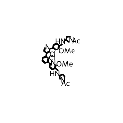 COc1cc(-c2nccc(-c3cccc(-c4ccc(CNC5CCN(C(C)=O)C5)c(OC)n4)c3Cl)c2Cl)ccc1CNC1CCN(C(C)=O)C1